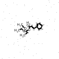 CCO[Si](CC)(OCC)OC(C)C=Cc1ccccc1